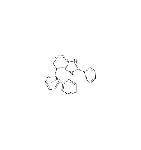 CC(C)c1ccccc1-n1c(-c2ccccc2)nc2cccc(-c3ccccc3)c21